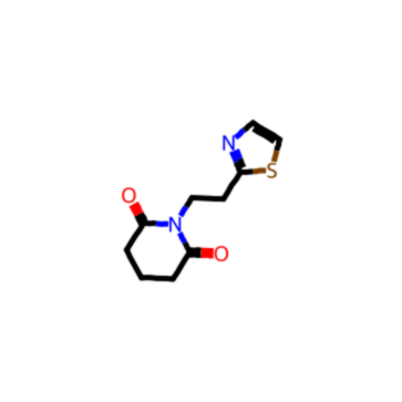 O=C1CCCC(=O)N1CCc1nccs1